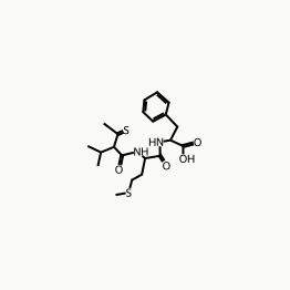 CSCCC(NC(=O)C(C(C)=S)C(C)C)C(=O)NC(Cc1ccccc1)C(=O)O